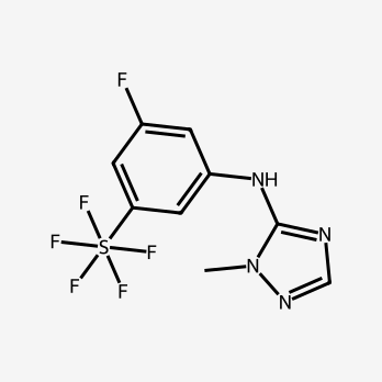 Cn1ncnc1Nc1cc(F)cc(S(F)(F)(F)(F)F)c1